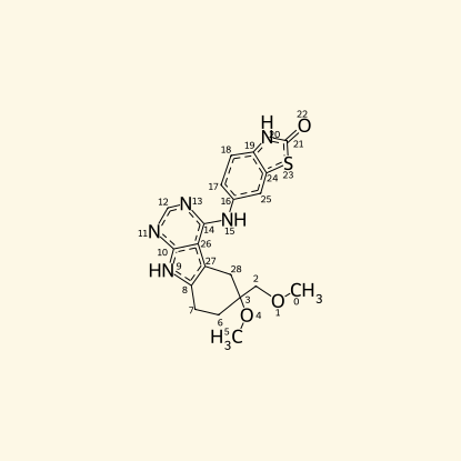 COCC1(OC)CCc2[nH]c3ncnc(Nc4ccc5[nH]c(=O)sc5c4)c3c2C1